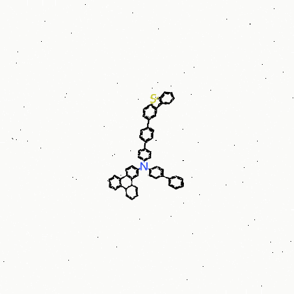 C1=CC2c3ccccc3-c3ccc(N(c4ccc(-c5ccccc5)cc4)c4ccc(-c5ccc(-c6ccc7sc8ccccc8c7c6)cc5)cc4)cc3C2C=C1